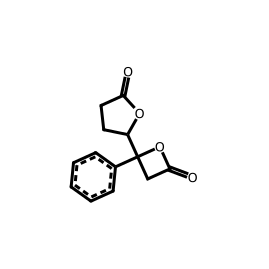 O=C1CCC(C2(c3ccccc3)CC(=O)O2)O1